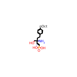 CCCCCCCCc1ccc(CC[C@](N)(/C=C/P(=O)(O)O)CO)cc1